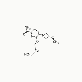 COC1CN(c2ccc(C(N)=O)nc2OC[C@@H]2C[C@@H]2CO)C1